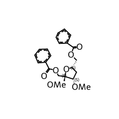 CO[C@H]1C[C@@H](COC(=O)c2ccccc2)O[C@]1(COC(=O)c1ccccc1)OC